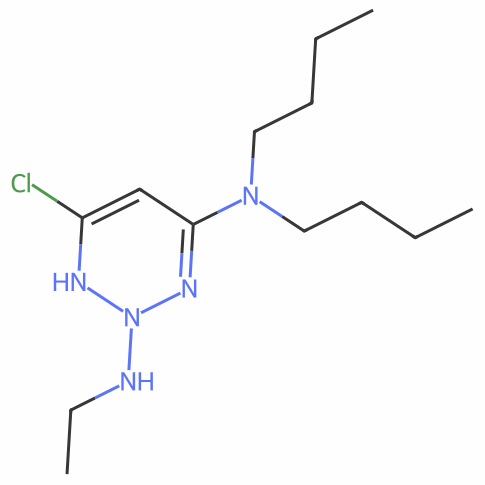 CCCCN(CCCC)C1=NN(NCC)NC(Cl)=C1